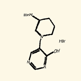 Br.CNC1CCCN(c2cncnc2O)C1